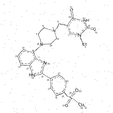 CCn1cc(CN2CCN(c3cccc4[nH]c(-c5ccc(S(C)(=O)=O)cc5)nc34)CC2)c(=O)[nH]c1=O